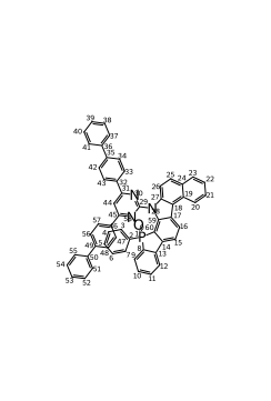 O=P1(c2ccccc2)c2ccccc2-c2ccc3c4c5ccccc5ccc4n(-c4nc(-c5ccc(-c6ccccc6)cc5)cc(-c5ccc(-c6ccccc6)cc5)n4)c3c21